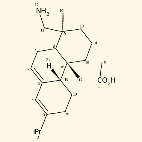 CC(=O)O.CC(C)C1=CC2=CCC3[C@@](C)(CN)CCC[C@]3(C)[C@@H]2CC1